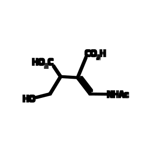 CC(=O)N/C=C(\C(=O)O)C(CO)C(=O)O